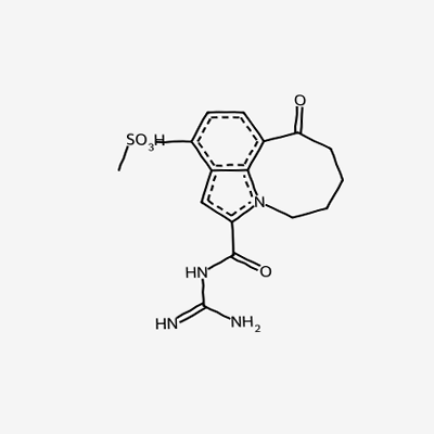 CS(=O)(=O)O.Cc1ccc2c3c1cc(C(=O)NC(=N)N)n3CCCCC2=O